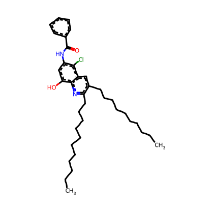 CCCCCCCCCCCc1nc2c(O)cc(NC(=O)c3ccccc3)c(Cl)c2cc1CCCCCCCCCC